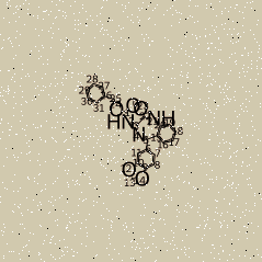 O=C(NC1N=C(c2ccc3c(c2)OCO3)c2ccccc2NC1=O)OCc1ccccc1